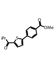 COC(=O)c1ccc(-c2ccc(C(=O)C(C)C)s2)cc1